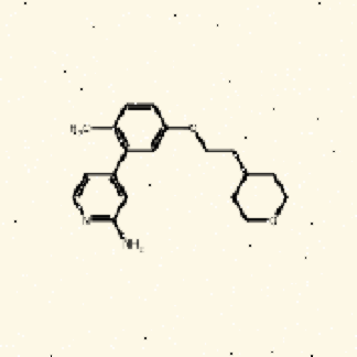 Cc1ccc(OCCC2CCOCC2)cc1-c1ccnc(N)c1